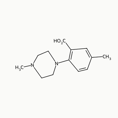 Cc1ccc(N2CCN(C)CC2)c(C(=O)O)c1